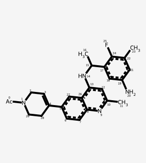 CC(=O)N1CC=C(c2ccc3nc(C)cc(NC(C)c4cc(N)cc(C)c4F)c3c2)CC1